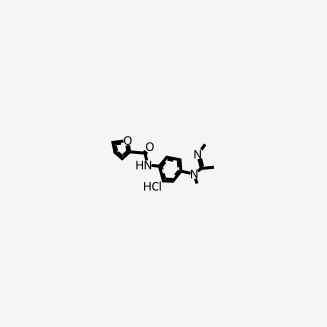 CN=C(C)N(C)c1ccc(NC(=O)c2ccco2)cc1.Cl